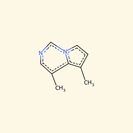 Cc1ccn2cncc(C)c12